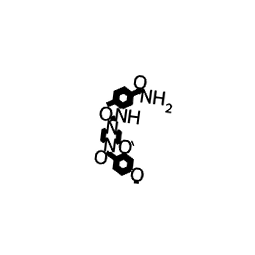 COc1ccc(C(=O)N2CCN(C(=O)Nc3cc(C(N)=O)ccc3C)CC2)c(OC)c1